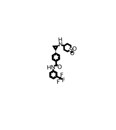 O=C(Nc1cccc(C(F)(F)F)c1)c1ccc([C@@H]2C[C@H]2NC2CCS(=O)(=O)CC2)cc1